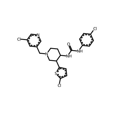 O=C(Nc1ccc(Cl)cc1)NC1CCN(Cc2cncc(Cl)c2)CC1c1ccc(Cl)s1